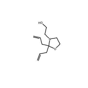 C=CCC1(CC=C)OCCN1CCO